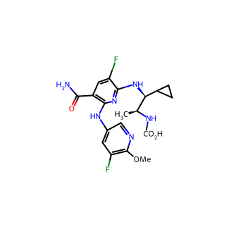 COc1ncc(Nc2nc(N[C@@H](C3CC3)[C@H](C)NC(=O)O)c(F)cc2C(N)=O)cc1F